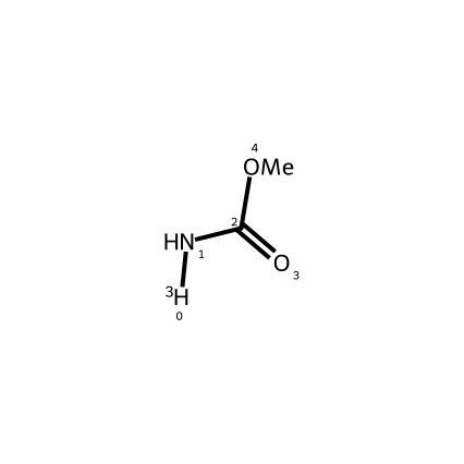 [3H]NC(=O)OC